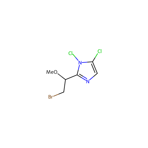 COC(CBr)c1ncc(Cl)n1Cl